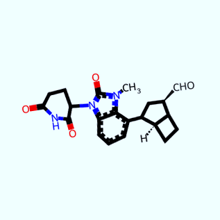 Cn1c(=O)n(C2CCC(=O)NC2=O)c2cccc(C3C[C@@H](C=O)C4CC[C@@H]34)c21